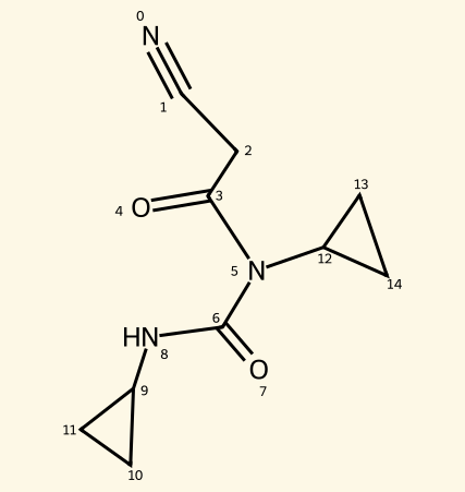 N#CCC(=O)N(C(=O)NC1CC1)C1CC1